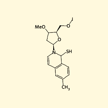 COC1C[C@H](N2C=Cc3cc(C)ccc3C2S)O[C@@H]1COI